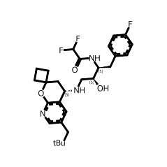 CC(C)(C)Cc1cnc2c(c1)[C@@H](NC[C@H](O)[C@H](Cc1ccc(F)cc1)NC(=O)C(F)F)CC1(CCC1)O2